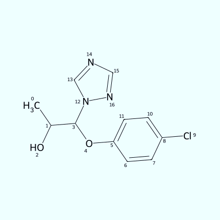 CC(O)C(Oc1ccc(Cl)cc1)n1cncn1